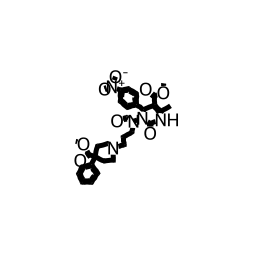 COC(=O)C1=C(C)NC(=O)N(N(C=O)CCCN2CCC(C(=O)OC)(c3ccccc3)CC2)C1c1ccc([N+](=O)[O-])cc1